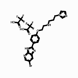 Brc1cnc2[nH]c(-c3ccc(OCCNCCCn4ccnc4)cc3)nc2c1.O=C(O)C(F)(F)F.O=C(O)C(F)(F)F